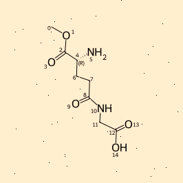 COC(=O)[C@H](N)CCC(=O)NCC(=O)O